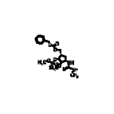 CNC(=S)N[C@H]1C[C@H](COC(=O)OCc2ccccc2)C(OP(O)(=S)OC)[C@@H]1OC